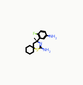 C[C@]1(c2cc(N)ccc2F)CC2(CCCCC2)SC(N)=N1